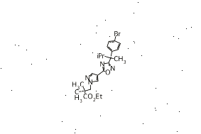 CCOC(=O)C(C)(C)Cn1cc(-c2nc(C(C)(c3ccc(Br)cc3)C(C)C)no2)cn1